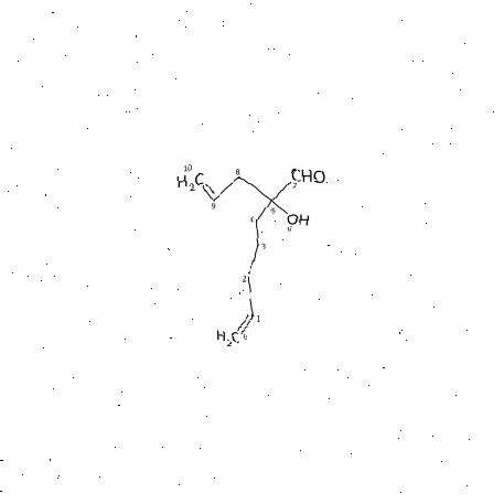 C=CCCCC(O)(C=O)CC=C